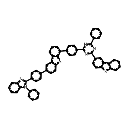 c1ccc(-c2nc(-c3ccc(-c4cccc5c4sc4ccc(-c6ccc(-c7nc8ccccc8n7-c7ccccc7)cc6)cc45)cc3)nc(-c3ccc4sc5ccccc5c4c3)n2)cc1